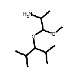 COC(OC(C(C)C)C(C)C)C(C)N